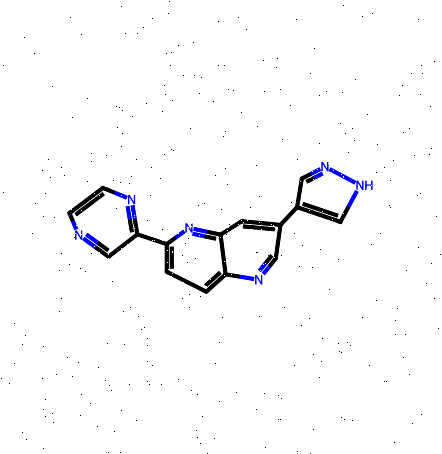 c1cnc(-c2ccc3ncc(-c4cn[nH]c4)cc3n2)cn1